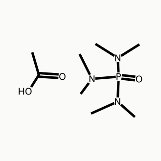 CC(=O)O.CN(C)P(=O)(N(C)C)N(C)C